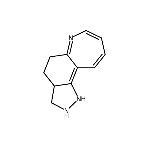 C1=CN=C2CCC3CNNC3=C2C=C1